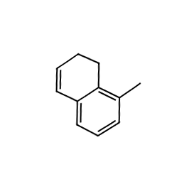 Cc1cccc2c1CCC=C2